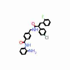 Nc1ccccc1NC(=O)c1ccc(CNC(=O)C(=Cc2ccccc2F)c2ccc(Cl)cc2)cc1